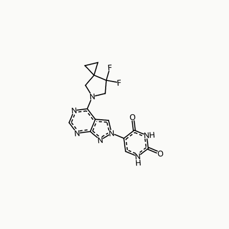 O=c1[nH]cc(-n2cc3c(N4CC(F)(F)C5(CC5)C4)ncnc3n2)c(=O)[nH]1